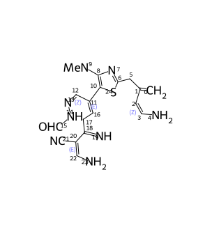 C=C(/C=C\N)Cc1nc(NC)c(C(/C=N\NC=O)=C/CC(=N)/C(C#N)=C\N)s1